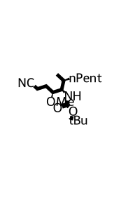 CCCCC[C@H](C)[C@@H](NC(=O)OC(C)(C)C)[C@@H](CCC#N)OC